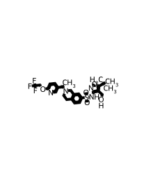 C[C@H](c1ccc(OCC(F)(F)F)nc1)N1CCc2ccc(S(=O)(=O)Nc3noc(C(C)(C)C)c3CO)cc2C1